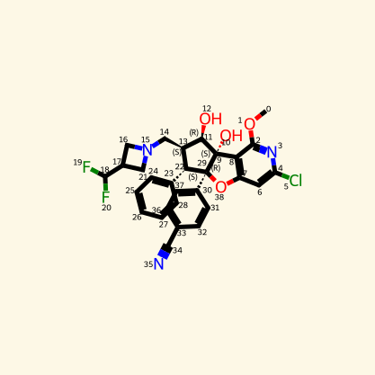 COc1nc(Cl)cc2c1[C@]1(O)[C@H](O)[C@H](CN3CC(C(F)F)C3)[C@@H](c3ccccc3)[C@]1(c1ccc(C#N)cc1)O2